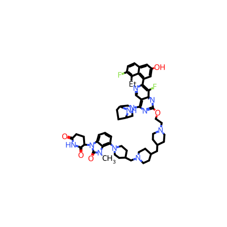 CCc1c(F)ccc2cc(O)cc(-c3ncc4c(N5CC6CCC(C5)N6)nc(OCCN5CCC(CC6CCN(CC7CCN(c8cccc9c8n(C)c(=O)n9C8CCC(=O)NC8=O)CC7)CC6)CC5)nc4c3F)c12